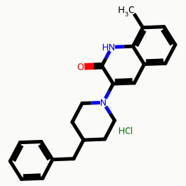 Cc1cccc2cc(N3CCC(Cc4ccccc4)CC3)c(=O)[nH]c12.Cl